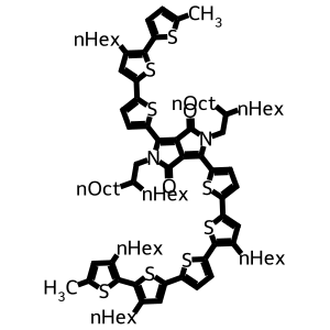 CCCCCCCCC(CCCCCC)CN1C(=O)C2=C(c3ccc(-c4cc(CCCCCC)c(-c5ccc(-c6cc(CCCCCC)c(-c7sc(C)cc7CCCCCC)s6)s5)s4)s3)N(CC(CCCCCC)CCCCCCCC)C(=O)C2=C1c1ccc(-c2cc(CCCCCC)c(-c3ccc(C)s3)s2)s1